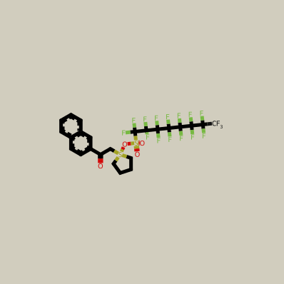 O=C(CS1(OS(=O)(=O)C(F)(F)C(F)(F)C(F)(F)C(F)(F)C(F)(F)C(F)(F)C(F)(F)C(F)(F)F)CCCC1)c1ccc2ccccc2c1